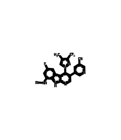 CCNc1cc(F)cc2c1[nH]c1ncc(-c3cncc(C#N)c3)c(-n3cc(C)c(C(F)(F)F)n3)c12